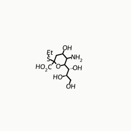 CCSC1(C(=O)O)CC(O)C(N)C([C@H](O)[C@H](O)CO)O1